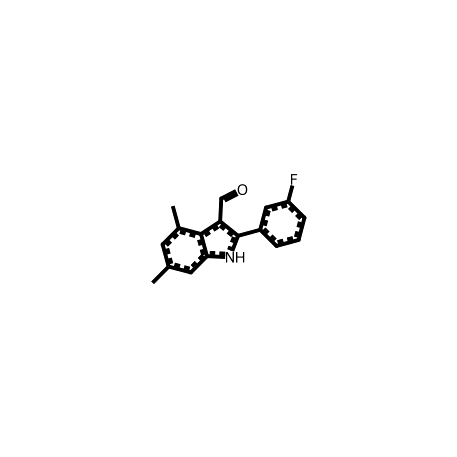 Cc1cc(C)c2c(C=O)c(-c3cccc(F)c3)[nH]c2c1